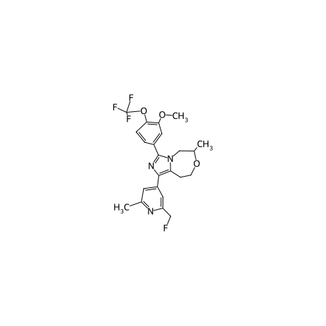 COc1cc(-c2nc(-c3cc(C)nc(CF)c3)c3n2CC(C)OCC3)ccc1OC(F)(F)F